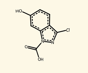 O=C(O)n1nc(Cl)c2ccc(O)cc21